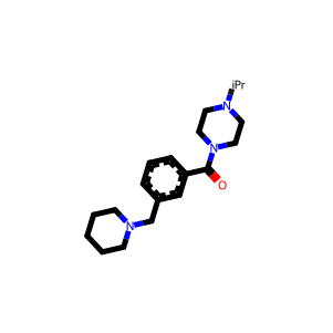 CC(C)N1CCN(C(=O)c2cccc(CN3CCCCC3)c2)CC1